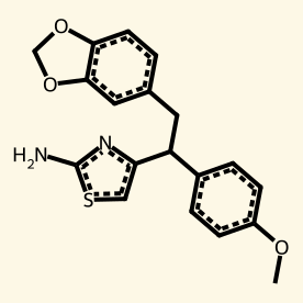 COc1ccc(C(Cc2ccc3c(c2)OCO3)c2csc(N)n2)cc1